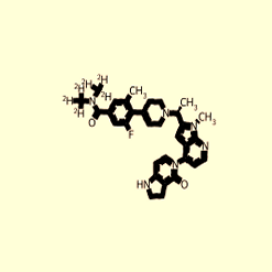 [2H]C([2H])([2H])N(C(=O)c1cc(C)c(C2=CCN([C@@H](C)c3cc4c(-n5ccc6c(c5=O)CCN6)ccnc4n3C)CC2)c(F)c1)C([2H])([2H])[2H]